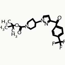 CC(C)(C)OC(=O)N1CCC(n2ccc(C(=O)c3ccc(C(F)(F)F)cc3)n2)CC1